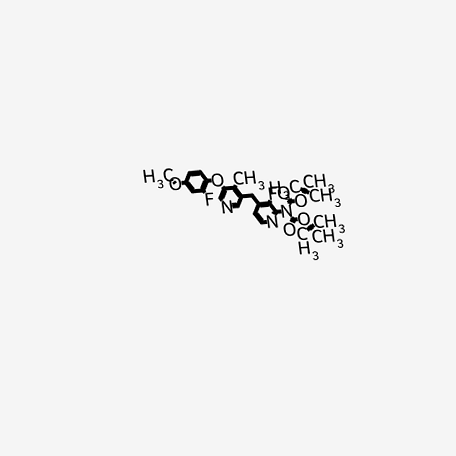 COc1ccc(Oc2cncc(Cc3ccnc(N(C(=O)OC(C)(C)C)C(=O)OC(C)(C)C)c3F)c2C)c(F)c1